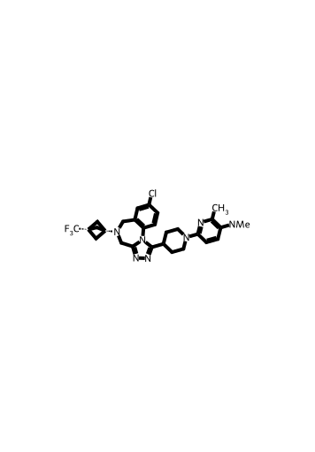 CNc1ccc(N2CCC(c3nnc4n3-c3ccc(Cl)cc3CN([C@]35C[C@](C(F)(F)F)(C3)C5)C4)CC2)nc1C